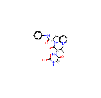 CC(C)[C@H](NC(=O)[C@H](C)NC(=O)O)C(=O)N1c2ncccc2C[C@H]1C(=O)Nc1ccccc1